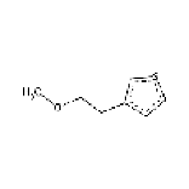 COCCc1ccsc1